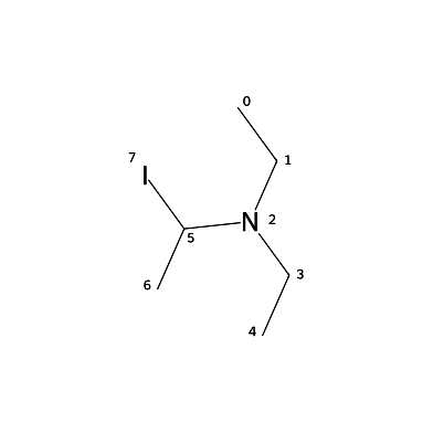 CCN(CC)C(C)I